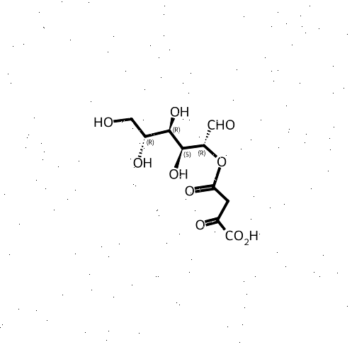 O=C[C@H](OC(=O)CC(=O)C(=O)O)[C@@H](O)[C@H](O)[C@H](O)CO